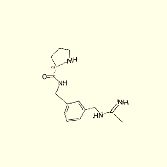 CC(=N)NCc1cccc(CNC(=O)[C@@H]2CCCN2)c1